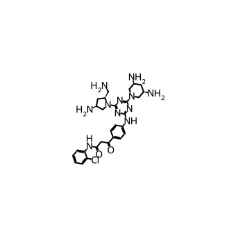 NC[C@@H]1C[C@H](N)CN1c1nc(Nc2ccc(C(=O)CC(=O)Nc3ccccc3Cl)cc2)nc(N2C[C@H](N)C[C@H](N)C2)n1